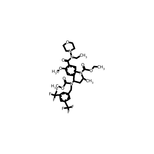 CCOC(=O)N1c2cc(C(=O)N(CC)N3CCOCC3)c(OC)cc2C(N(Cc2cc(C(F)(F)F)cc(C(F)(F)F)c2)C(=O)OC)CC1C